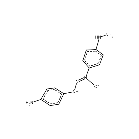 NNc1ccc([N+]([O-])=NNc2ccc(N)cc2)cc1